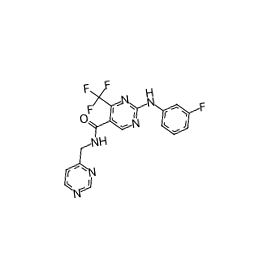 O=C(NCc1ccncn1)c1cnc(Nc2cccc(F)c2)nc1C(F)(F)F